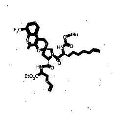 C=CCCCCC[C@H](NC(=O)OC(C)(C)C)C(=O)N1C[C@@]2(CCc3c(c(C)nc4c(C(F)(F)F)cccc34)O2)C[C@H]1C(=O)NC(CCC=C)C(=O)OCC